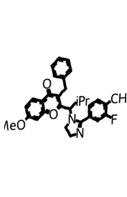 COc1ccc2c(=O)c(Cc3ccccc3)c(C(C(C)C)N3CCN=C3c3ccc(C)c(F)c3)oc2c1